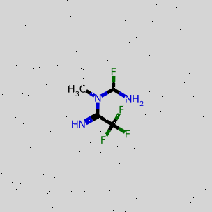 CN(C(=N)C(F)(F)F)C(N)F